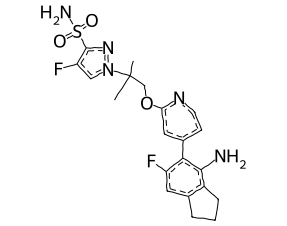 CC(C)(COc1cc(-c2c(F)cc3c(c2N)CCC3)ccn1)n1cc(F)c(S(N)(=O)=O)n1